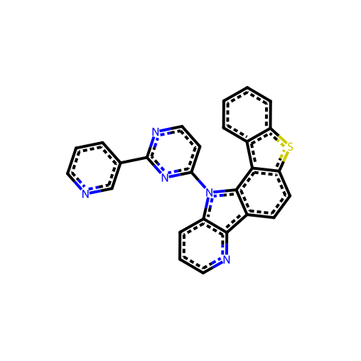 c1cncc(-c2nccc(-n3c4cccnc4c4ccc5sc6ccccc6c5c43)n2)c1